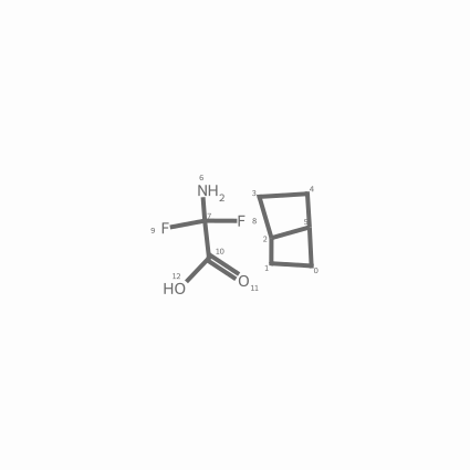 C1CC2CCC12.NC(F)(F)C(=O)O